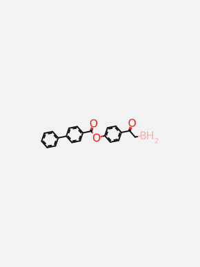 BCC(=O)c1ccc(OC(=O)c2ccc(-c3ccccc3)cc2)cc1